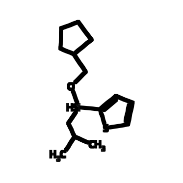 CC(C)C[SiH](OCC1CCCC1)c1cccs1